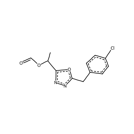 CC(OC=O)c1nnc(Cc2ccc(Cl)cc2)o1